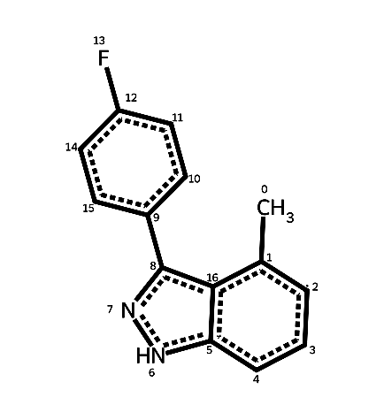 Cc1[c]ccc2[nH]nc(-c3ccc(F)cc3)c12